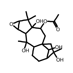 CC(=O)OC1CC23CC(C)(O)C(CCC2C(C)(O)C2C4OC4C(C)(C)C12O)C3O